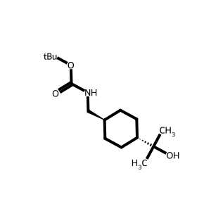 CC(C)(C)OC(=O)NC[C@H]1CC[C@H](C(C)(C)O)CC1